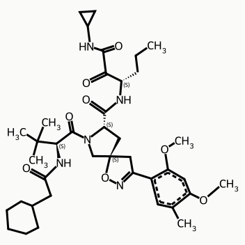 CCC[C@H](NC(=O)[C@@H]1C[C@]2(CC(c3cc(C)c(OC)cc3OC)=NO2)CN1C(=O)[C@@H](NC(=O)CC1CCCCC1)C(C)(C)C)C(=O)C(=O)NC1CC1